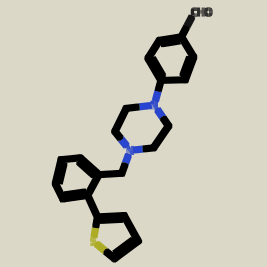 O=Cc1ccc(N2CCN(Cc3ccccc3-c3cccs3)CC2)cc1